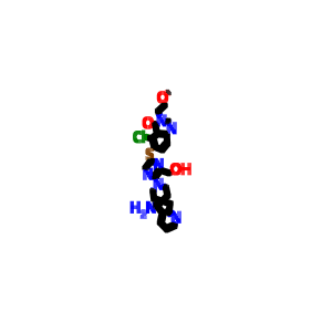 COCCn1cnc2ccc(Sc3cnc(N4CCC5(CC4)Cc4ncccc4[C@H]5N)c(CO)n3)c(Cl)c2c1=O